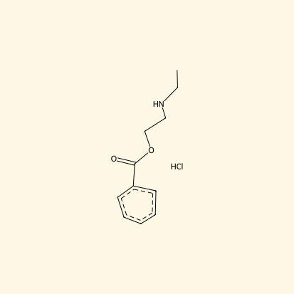 CCNCCOC(=O)c1ccccc1.Cl